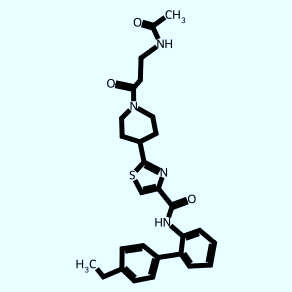 CCc1ccc(-c2ccccc2NC(=O)c2csc(C3CCN(C(=O)CCNC(C)=O)CC3)n2)cc1